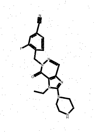 CCn1c(N2CCNCC2)nc2cnn(Cc3ccc(C#N)cc3F)c(=O)c21